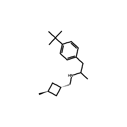 CC(Cc1ccc(C(C)(C)C)cc1)NC[C@H]1C[C@H](C)C1